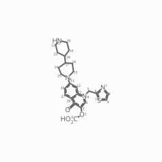 O=C(O)Oc1cn(Cc2nccs2)c2cc(N3CCC(C4CCNCC4)CC3)ccc2c1=O